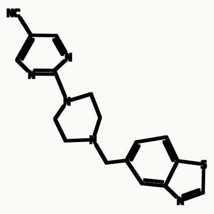 N#Cc1cnc(N2CCN(Cc3ccc4scnc4c3)CC2)nc1